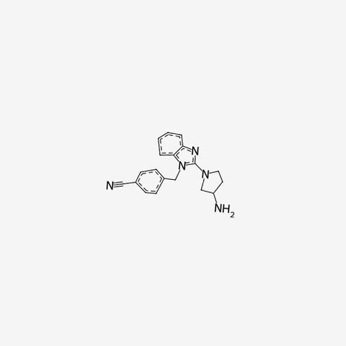 N#Cc1ccc(Cn2c(N3CCC(N)C3)nc3ccccc32)cc1